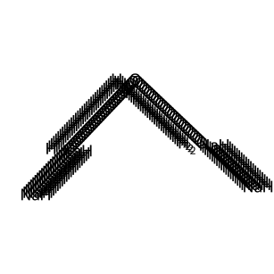 O.O.O.O.O.O.O.O.O.O.O.O.O.O.O.O.O.O.O.O.O.O.O.O.O.O.O.O.O.O.O.O.O.O.O.O.O.O.O.O.O.O.O.O.O.O.O.O.O.O.O.O.O.O.O.O.O.O.O.O.[NaH].[NaH].[NaH].[NaH].[NaH].[NaH].[NaH].[NaH].[NaH].[NaH].[NaH].[NaH].[NaH].[NaH].[NaH].[NaH].[NaH].[NaH].[NaH].[NaH].[NaH].[NaH].[NaH].[NaH].[NaH].[NaH].[NaH].[NaH].[NaH].[NaH].[NaH].[NaH].[NaH].[NaH].[NaH].[NaH].[NaH].[NaH].[NaH].[NaH]